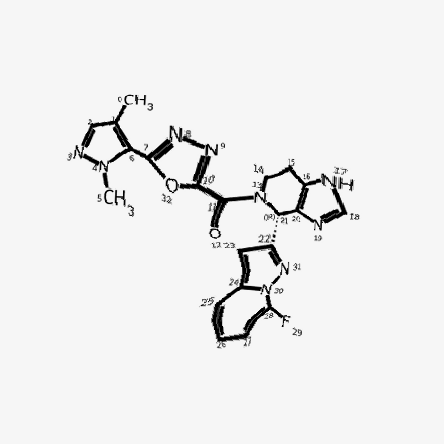 Cc1cnn(C)c1-c1nnc(C(=O)N2CCc3[nH]cnc3[C@@H]2c2cc3cccc(F)n3n2)o1